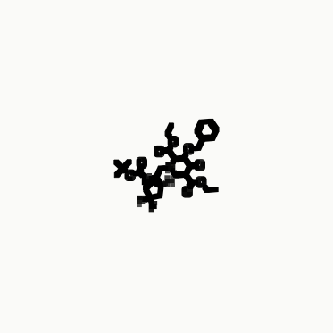 CCOC(=O)c1cn(CC2[C@H]3CC(N2C(=O)OC(C)(C)C)C(F)(F)C3)c(C(=O)OCC)c(OCc2ccccc2)c1=O